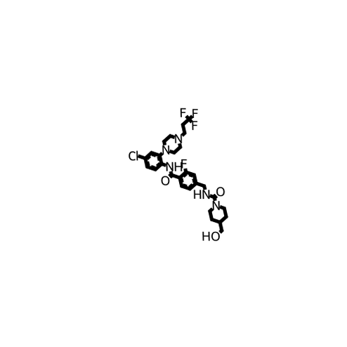 O=C(Nc1ccc(Cl)cc1N1CCN(CCC(F)(F)F)CC1)c1ccc(CNC(=O)N2CCC(CO)CC2)cc1F